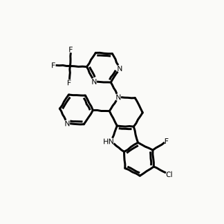 Fc1c(Cl)ccc2[nH]c3c(c12)CCN(c1nccc(C(F)(F)F)n1)C3c1cccnc1